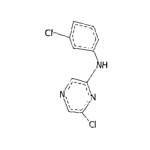 Clc1cccc(Nc2cncc(Cl)n2)c1